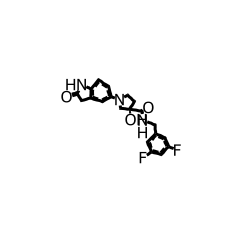 O=C1Cc2cc(N3CC[C@](O)(C(=O)NCc4cc(F)cc(F)c4)C3)ccc2N1